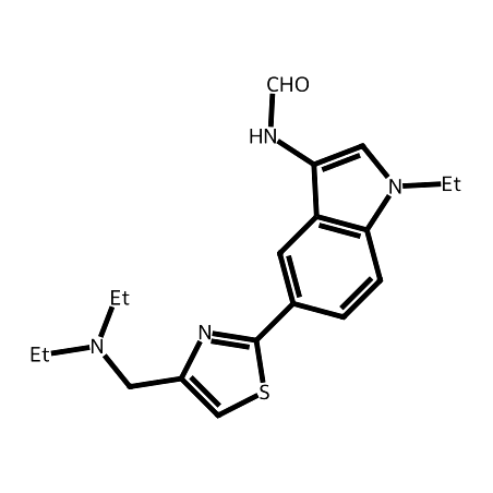 CCN(CC)Cc1csc(-c2ccc3c(c2)c(NC=O)cn3CC)n1